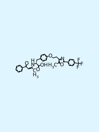 C/C(=C/C(=O)c1ccccc1)N[C@@H](Cc1ccc(OCCc2nc(-c3ccc(C(F)(F)F)cc3)oc2C)cc1)C(=O)O